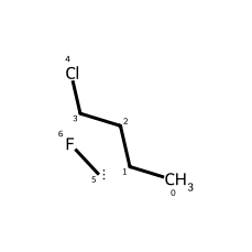 CCCCCl.[C]F